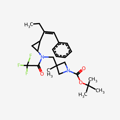 CCC(=Cc1ccccc1)C1C[C@@H]1N(CC1(C)CN(C(=O)OC(C)(C)C)C1)C(=O)C(F)(F)F